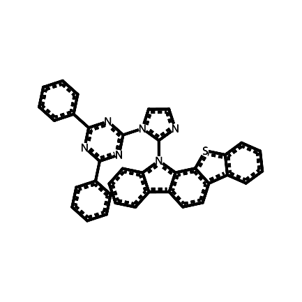 c1ccc(-c2nc(-c3ccccc3)nc(-n3ccnc3-n3c4ccccc4c4ccc5c6ccccc6sc5c43)n2)cc1